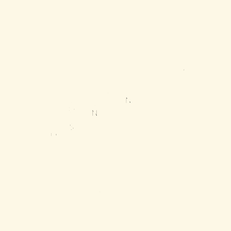 O=S1(=O)c2ccccc2C2CN(c3ccccc3)CN21